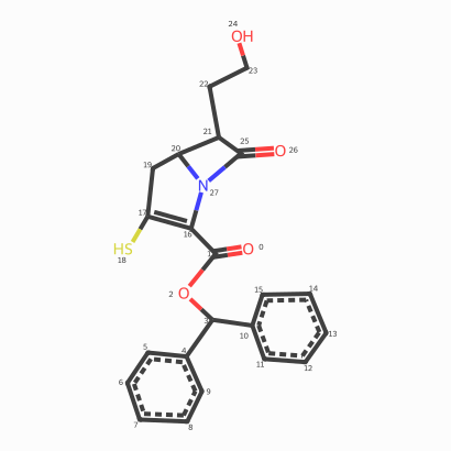 O=C(OC(c1ccccc1)c1ccccc1)C1=C(S)CC2C(CCO)C(=O)N12